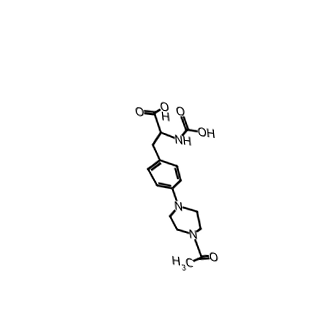 CC(=O)N1CCN(c2ccc(CC(NC(=O)O)C(=O)O)cc2)CC1